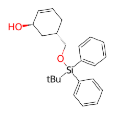 CC(C)(C)[Si](OC[C@H]1CC=C[C@H](O)C1)(c1ccccc1)c1ccccc1